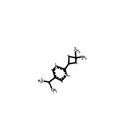 CC(C)c1cnc(C2CC(C)(N)C2)nc1